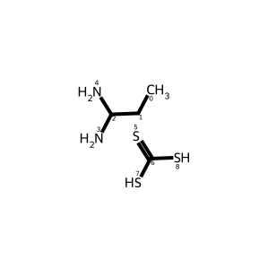 CCC(N)N.S=C(S)S